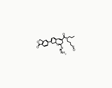 CCCN(CCCN=O)C(=O)C1=CC2=CC=C(c3ccc4c(c3)COC4=O)CC2N=C(N=NN)C1